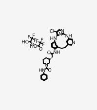 O=C(C[C@H]1CCCN(C(=O)Nc2ccccc2)C1)Nc1ccc2cc1CCc1cncc(c1)Nc1ncc(Cl)c(n1)N2.O=C(O)C(F)(F)F.O=C(O)C(F)(F)F